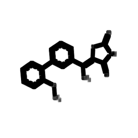 CC(=C1SC(=O)NC1=O)c1cccc(-c2ccccc2OC(F)(F)F)c1